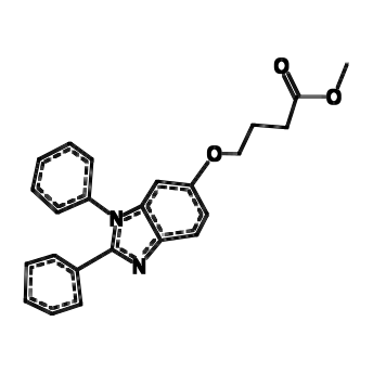 COC(=O)CCCOc1ccc2nc(-c3ccccc3)n(-c3ccccc3)c2c1